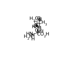 Cc1noc(C)c1-c1cccc(S(=O)(=O)Nc2ccsc2C(=O)N[C@@H](CCCNC(=N)N)C(=O)O)c1